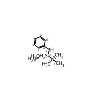 C[N+](C)(C)[SiH2]Bc1ccccc1.O.O